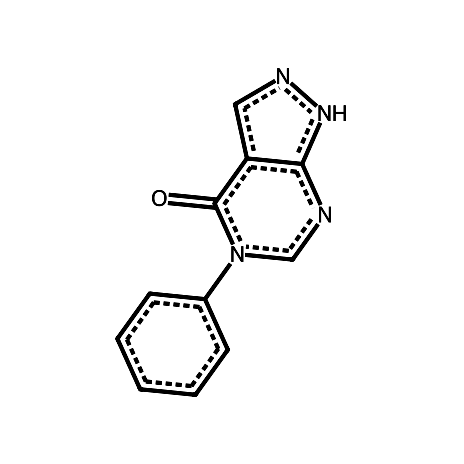 O=c1c2cn[nH]c2ncn1-c1ccccc1